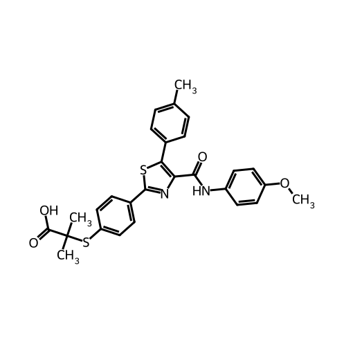 COc1ccc(NC(=O)c2nc(-c3ccc(SC(C)(C)C(=O)O)cc3)sc2-c2ccc(C)cc2)cc1